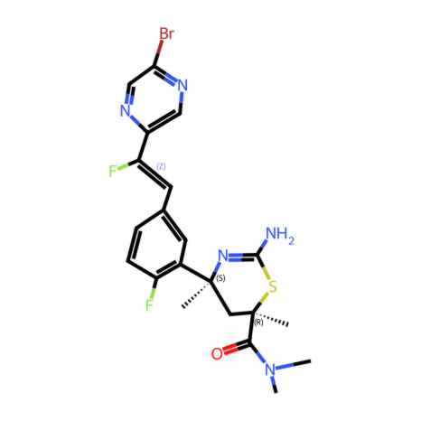 CN(C)C(=O)[C@@]1(C)C[C@@](C)(c2cc(/C=C(\F)c3cnc(Br)cn3)ccc2F)N=C(N)S1